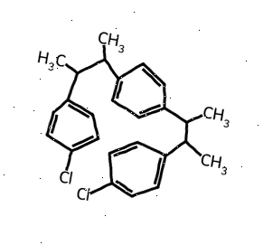 CC(c1ccc(Cl)cc1)C(C)c1ccc(C(C)C(C)c2ccc(Cl)cc2)cc1